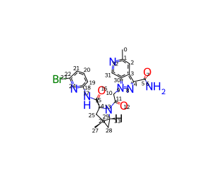 Cc1cc2c(C(N)=O)nn(CC(=O)N3[C@H](C(=O)Nc4cccc(Br)n4)C[C@@]4(C)C[C@@H]34)c2cn1